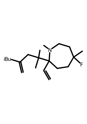 C=CC1(C(C)(C)CC(=C)C(C)CC)CCC(C)(F)CCN1C